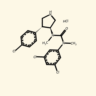 CN(C(=O)N(C)[C@@H]1CNC[C@H]1c1ccc(Cl)cc1)c1cc(Cl)cc(Cl)c1.Cl